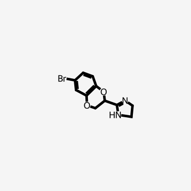 Brc1ccc2c(c1)OCC(C1=NCCN1)O2